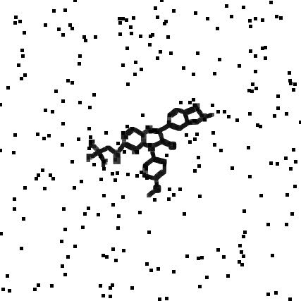 COc1ccc(-n2c(=O)c(-c3ccc4nn(C)cc4c3)nc3cnc(NCC(F)(F)F)nc32)cc1